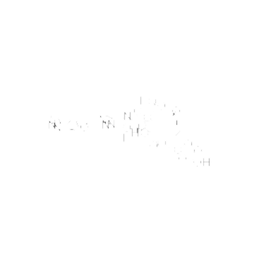 CCOC(C[C@H]1C[C@@H](C)C(=O)/C=C/C(C)=C/[C@H](COC2O[C@H](C)C(O)C(OC)C2OC)[C@@H](CC)OC(=O)C[C@@H](O)[C@H](C)[C@H]1OC1OC(C)C(O)C(N(C)CCc2cn(CCCOc3ccc(-c4csnn4)cc3)nn2)C1O)OCC